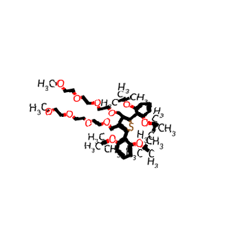 COCCOCCOCCOCc1c(-c2c(OC(C)(C)C)cccc2OC(C)(C)C)sc(-c2c(OC(C)(C)C)cccc2OC(C)(C)C)c1COCCOCCOCCOC